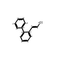 CCC=Cc1ccccc1-c1ccccc1